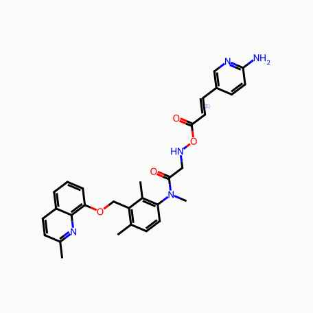 Cc1ccc2cccc(OCc3c(C)ccc(N(C)C(=O)CNOC(=O)/C=C/c4ccc(N)nc4)c3C)c2n1